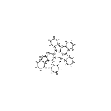 CC1(C)c2ccccc2-c2c1c1c(c3ccccc23)c2ccccc2n1-c1nc(-c2ccccc2)c2c(n1)sc1ccccc12